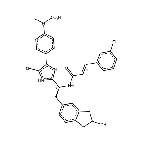 CN(C(=O)O)c1ccc(-c2nc([C@H](Cc3ccc4c(c3)CC(O)C4)NC(=O)/C=C/c3cccc(Cl)c3)[nH]c2Cl)cc1